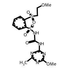 COCCS(=O)(=O)c1ccccc1S(=O)(=O)NC(=O)Nc1nc(C)nc(OC)n1